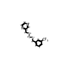 FC(F)(F)c1cccc(CSSSCc2cnccn2)c1